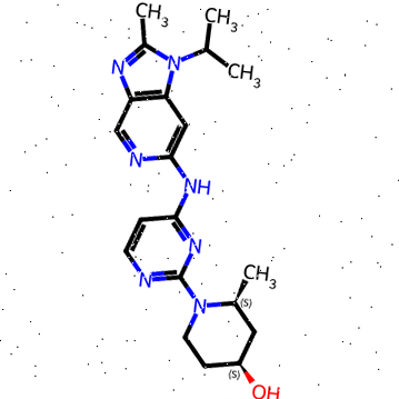 Cc1nc2cnc(Nc3ccnc(N4CC[C@H](O)C[C@@H]4C)n3)cc2n1C(C)C